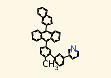 Cc1ccc(-c2c3ccccc3c(-c3ccc4ccccc4c3)c3ccccc23)cc1-c1cccc(-c2cccnc2)c1